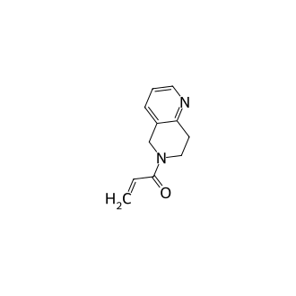 C=CC(=O)N1CCc2ncccc2C1